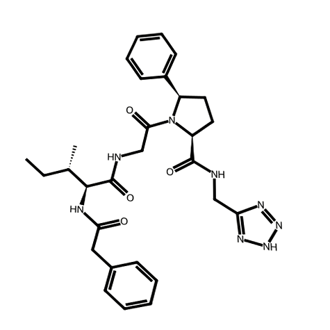 CC[C@H](C)[C@H](NC(=O)Cc1ccccc1)C(=O)NCC(=O)N1[C@@H](c2ccccc2)CC[C@H]1C(=O)NCc1nn[nH]n1